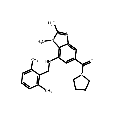 Cc1cccc(C)c1CNc1cc(C(=O)N2CCCC2)cc2nc(C)n(C)c12